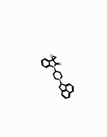 O=C1N(C2CCN(C3Cc4cccc5cccc3c45)CC2)c2ccccc2C12CO2